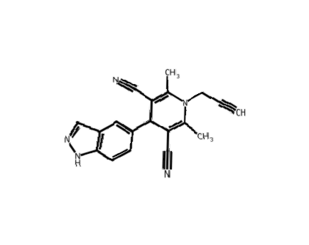 C#CCN1C(C)=C(C#N)C(c2ccc3[nH]ncc3c2)C(C#N)=C1C